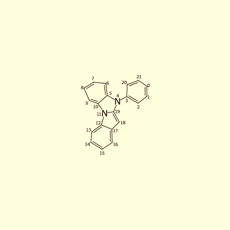 c1ccc(-n2c3ccccc3n3c4ccccc4cc23)cc1